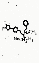 CC#N.CCC(CCc1ccc(C2CC(F)C(F)C2)cc1)N(CC)CCc1ccccc1